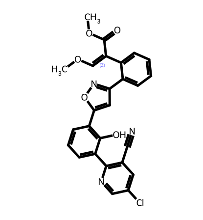 CO/C=C(\C(=O)OC)c1ccccc1-c1cc(-c2cccc(-c3ncc(Cl)cc3C#N)c2O)on1